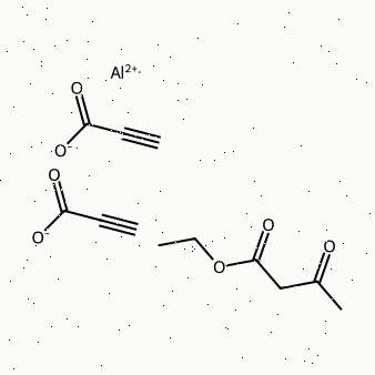 C#CC(=O)[O-].C#CC(=O)[O-].CCOC(=O)CC(C)=O.[Al+2]